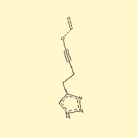 O=POC#CCCc1c[nH]nn1